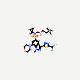 Cn1nc(-c2nnc(C(F)F)s2)c2cc(S(=O)(=O)N(COCC[Si](C)(C)C)C3(C)CC3)cc(N3CCOCC3)c21